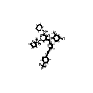 O=C(NN1CCCCC1)c1nn(-c2ccc(Cl)cc2Cl)c(-c2ccc(C#Cc3ccc(C(F)(F)F)cc3)s2)c1CNS(=O)(=O)c1cccs1